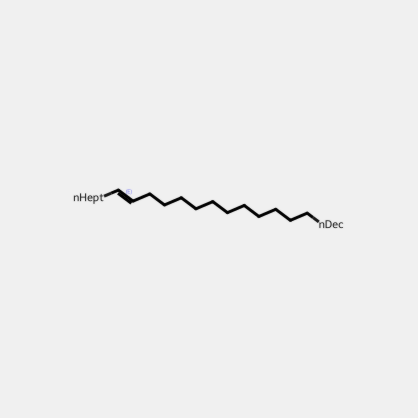 [CH2]CCCCCC/C=C/CCCCCCCCCCCCCCCCCCCCC